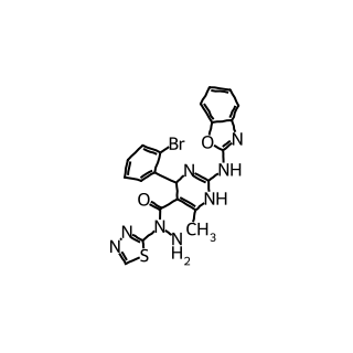 CC1=C(C(=O)N(N)c2nncs2)C(c2ccccc2Br)N=C(Nc2nc3ccccc3o2)N1